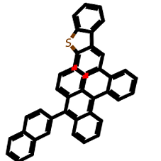 c1ccc(-c2c3ccccc3c(-c3ccc4ccccc4c3)c3ccccc23)c(-c2ccc3sc4ccccc4c3c2)c1